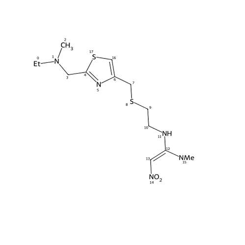 CCN(C)Cc1nc(CSCCNC(=C[N+](=O)[O-])NC)cs1